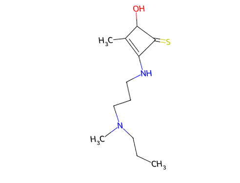 CCCN(C)CCCNC1=C(C)C(O)C1=S